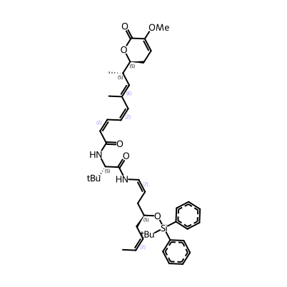 C/C=C\C[C@@H](C/C=C\NC(=O)[C@@H](NC(=O)\C=C/C=C\C(C)=C\[C@H](C)[C@@H]1CC=C(OC)C(=O)O1)C(C)(C)C)O[Si](c1ccccc1)(c1ccccc1)C(C)(C)C